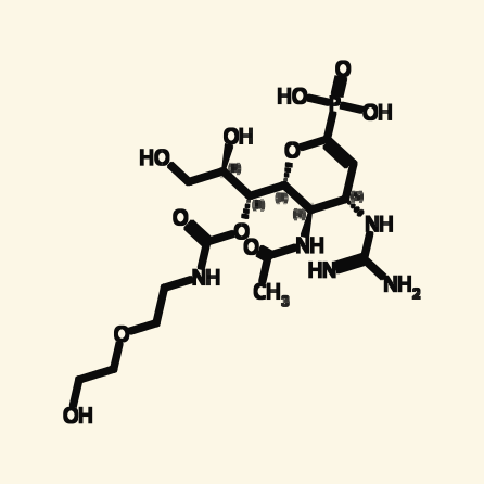 CC(=O)N[C@H]1[C@H]([C@H](OC(=O)NCCOCCO)[C@H](O)CO)OC(P(=O)(O)O)=C[C@@H]1NC(=N)N